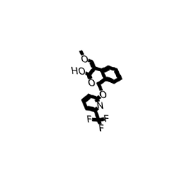 COC=C(C(=O)O)c1ccccc1COc1cccc(C(F)(F)F)n1